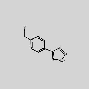 BrCc1ccc(-c2nn[nH]n2)cc1